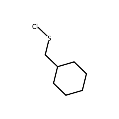 ClSCC1CCCCC1